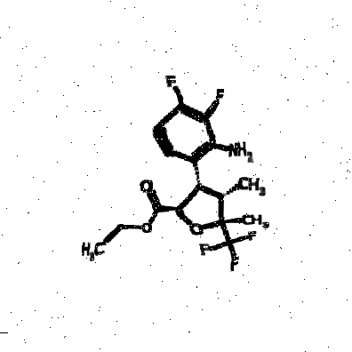 CCOC(=O)[C@@H]1O[C@@](C)(C(F)(F)F)[C@@H](C)[C@H]1c1ccc(F)c(F)c1N